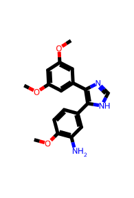 COc1cc(OC)cc(-c2nc[nH]c2-c2ccc(OC)c(N)c2)c1